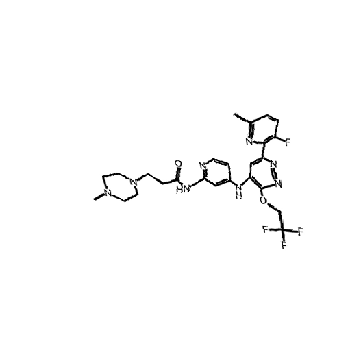 Cc1ccc(F)c(-c2cc(Nc3ccnc(NC(=O)CCN4CCN(C)CC4)c3)c(OCC(F)(F)F)nn2)n1